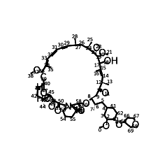 COC1CC(C[C@H](C)[C@@H]2CC(=O)[C@H](C)/C=C(\C)C(O)[C@@H](OC)C(=O)[C@H](C)C[C@H](C)/C=C/C=C/C=C(\C)[C@@H](OC)C[C@@H]3CC[C@@H](C)[C@@](O)(O3)C(=O)C(=O)N3CCCC[C@H]3C(=O)O2)CCC1OC1CCOC1